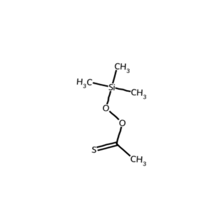 CC(=S)OO[Si](C)(C)C